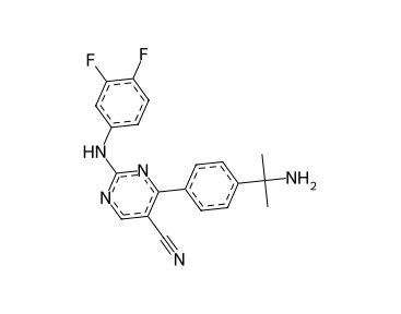 CC(C)(N)c1ccc(-c2nc(Nc3ccc(F)c(F)c3)ncc2C#N)cc1